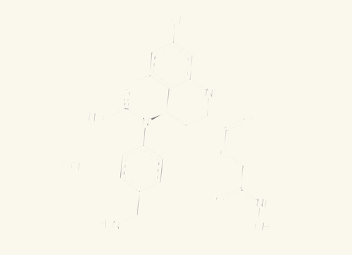 CNC(=O)COC(=O)[C@@H]1C[C@@H](N(C(C)=O)c2ccc(CN)cc2)c2c(Cl)cc(Cl)cc2N1.Cl